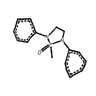 CP1(=O)N(c2ccccc2)CCN1c1ccccc1